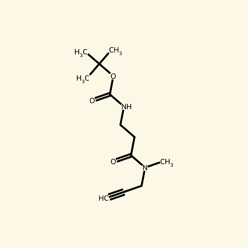 C#CCN(C)C(=O)CCNC(=O)OC(C)(C)C